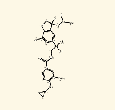 CCC1(N[S+]([O-])C(C)(C)C)COc2c1cc(C(O)(CNC(=O)c1ccc(OC3CC3)c(OC)c1)C(F)(F)F)nc2Cl